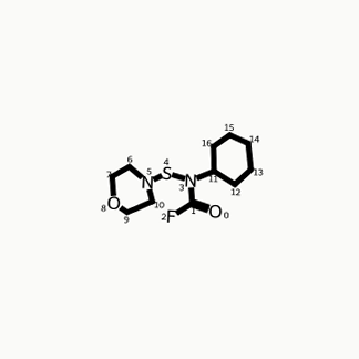 O=C(F)N(SN1CCOCC1)C1CCCCC1